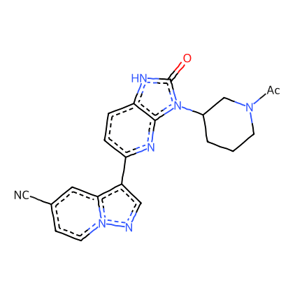 CC(=O)N1CCCC(n2c(=O)[nH]c3ccc(-c4cnn5ccc(C#N)cc45)nc32)C1